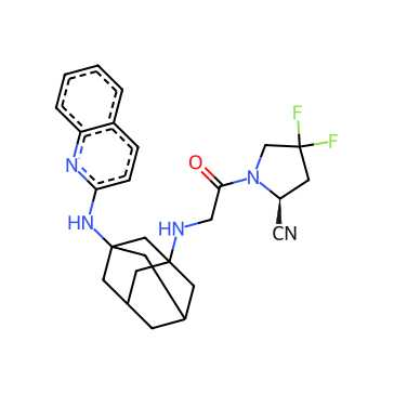 N#C[C@@H]1CC(F)(F)CN1C(=O)CNC12CC3CC(C1)CC(Nc1ccc4ccccc4n1)(C3)C2